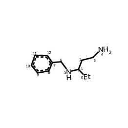 CC[C](CCN)NCc1ccccc1